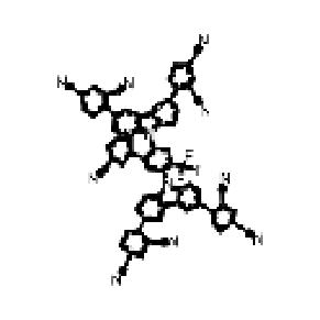 N#Cc1cccc(-c2cc(-n3c4ccc(-c5ccc(C#N)cc5C#N)cc4c4cc(-c5ccc(C#N)cc5C#N)ccc43)c(C(F)(F)F)cc2-n2c3ccc(-c4ccc(C#N)cc4C#N)cc3c3cc(-c4ccc(C#N)cc4C#N)ccc32)c1